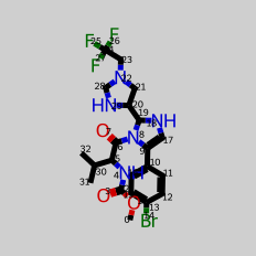 COC(=O)NC(C(=O)N1C(c2ccc(Br)cc2)=CNC1C1CN(CC(F)(F)F)CN1)C(C)C